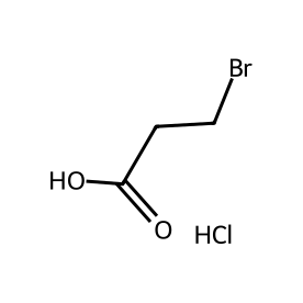 Cl.O=C(O)CCBr